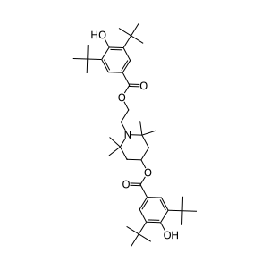 CC(C)(C)c1cc(C(=O)OCCN2C(C)(C)CC(OC(=O)c3cc(C(C)(C)C)c(O)c(C(C)(C)C)c3)CC2(C)C)cc(C(C)(C)C)c1O